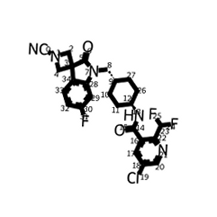 N#CN1CC2(C1)C(=O)N(C[C@H]1CC[C@H](NC(=O)c3cc(Cl)cnc3C(F)F)CC1)c1cc(F)ccc12